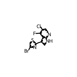 Fc1c(Cl)cnc2[nH]cc(-c3nc(Br)cs3)c12